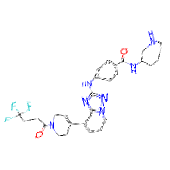 O=C(NC1CCCNC1)c1ccc(Nc2nc3c(C4=CCN(C(=O)CCC(F)(F)F)CC4)cccn3n2)cc1